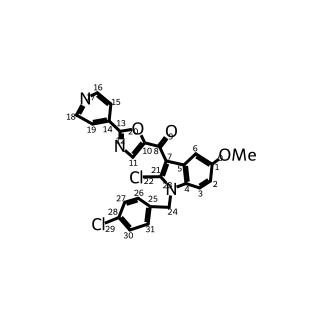 COc1ccc2c(c1)c(C(=O)c1cnc(-c3ccncc3)o1)c(Cl)n2Cc1ccc(Cl)cc1